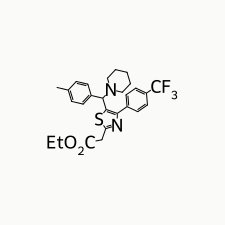 CCOC(=O)Cc1nc(-c2ccc(C(F)(F)F)cc2)c(C(c2ccc(C)cc2)N2CCCCC2)s1